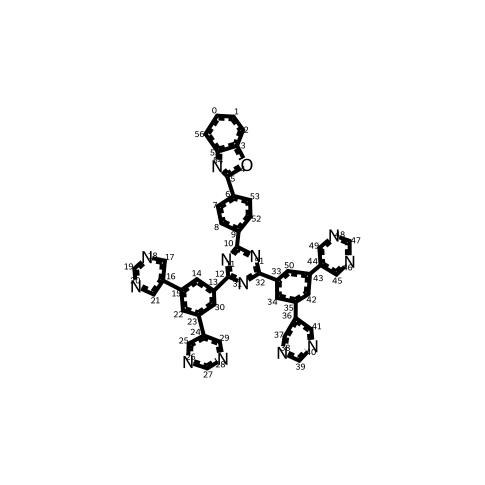 c1ccc2oc(-c3ccc(-c4nc(-c5cc(-c6cncnc6)cc(-c6cncnc6)c5)nc(-c5cc(-c6cncnc6)cc(-c6cncnc6)c5)n4)cc3)nc2c1